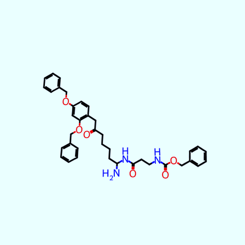 NC(CCCCC(=O)Cc1ccc(OCc2ccccc2)cc1OCc1ccccc1)NC(=O)CCNC(=O)OCc1ccccc1